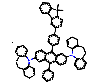 CC1(C)c2ccccc2-c2cc(-c3ccc(-c4c5ccc(N6C7=C(CCC=C7)CCc7ccccc76)cc5c(-c5ccccc5)c5ccc(N6C7=C(CCC=C7)CCc7ccccc76)cc45)cc3)ccc21